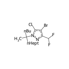 CCCCCCCC(C)(CCCC)n1nc(C(F)F)c(Br)c1Cl